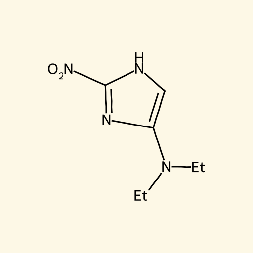 CCN(CC)c1c[nH]c([N+](=O)[O-])n1